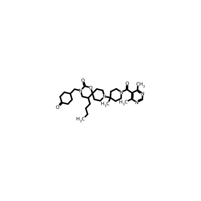 CCCCC1CN(CC2CCC(=O)CC2)C(=O)OC12CCN(C1(C)CCN(C(=O)c3c(C)ncnc3C)CC1)CC2